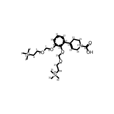 C[Si](C)(C)CCOCOc1cccc(C2=CCN(C(=O)O)CC2)c1OCOCC[Si](C)(C)C